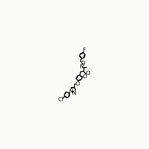 COC(=O)C(Cc1ccc(OCc2cnn(-c3ccc(Cl)cc3)c2)cc1)C(C)=NOCc1ccc(F)cc1